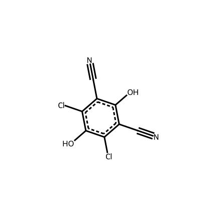 N#Cc1c(O)c(C#N)c(Cl)c(O)c1Cl